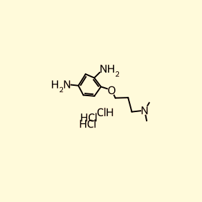 CN(C)CCCOc1ccc(N)cc1N.Cl.Cl.Cl